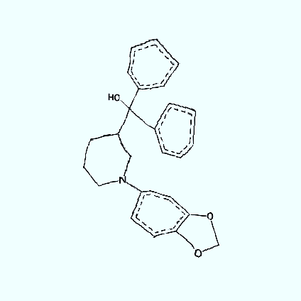 OC(c1ccccc1)(c1ccccc1)C1CCCN(c2ccc3c(c2)OCO3)C1